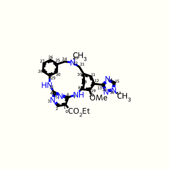 CCOC(=O)c1cnc2nc1Nc1cc(cc(-c3ncn(C)n3)c1OC)CN(C)Cc1cccc(c1)N2